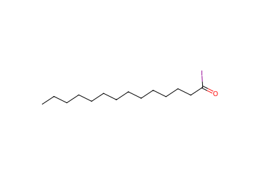 CCCCCCCCCCCCCC(=O)I